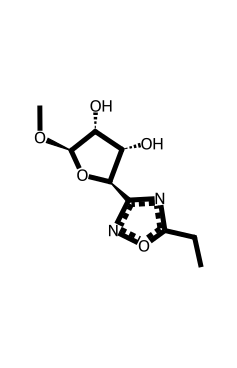 CCc1nc([C@H]2O[C@@H](OC)[C@H](O)[C@@H]2O)no1